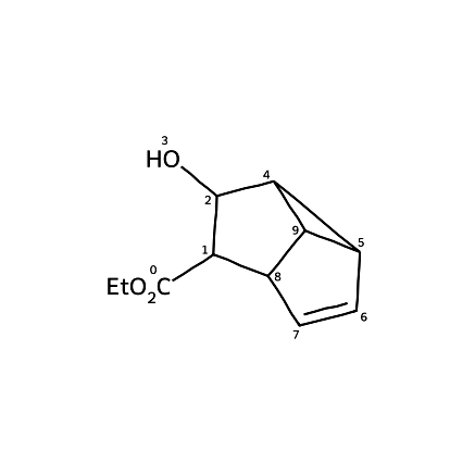 CCOC(=O)C1C(O)C2C3C=CC1C32